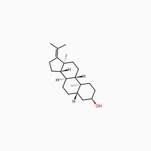 CC(C)=C1CC[C@H]2[C@@H]3CC[C@H]4C[C@H](O)CC[C@]4(C)[C@H]3CC[C@]12C